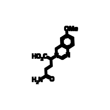 COc1ccc2c(c1)CN(C(CCC(N)=O)C(=O)O)C=N2